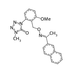 COc1cccc(-n2nnn(C)c2=O)c1CON=C(C)c1ccc2ccccc2c1